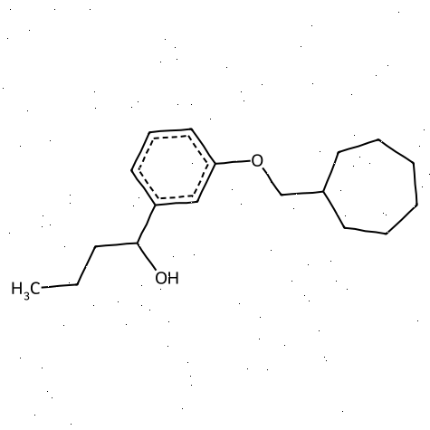 CCCC(O)c1cccc(OCC2CCCCCC2)c1